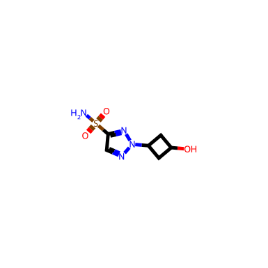 NS(=O)(=O)c1cnn(C2CC(O)C2)n1